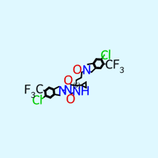 O=C(CC[C@@]1(C2CC2)NC(=O)N(N2Cc3cc(Cl)c(C(F)(F)F)cc3C2)C1=O)N1Cc2cc(Cl)c(C(F)(F)F)cc2C1